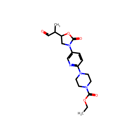 CCOC(=O)N1CCN(c2ccc(N3CC(C(C)[C]=O)OC3=O)cn2)CC1